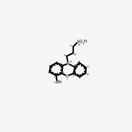 CCCc1cccc2c1Oc1ccccc1N2CCCS(=O)(=O)O